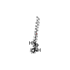 CCCCCCCCCCCCCCCCCCNC(=O)Cc1c[nH]c2c1=CCCC=2